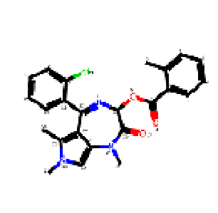 Cc1ccccc1C(=O)OC1N=C(c2ccccc2Cl)c2c(cn(C)c2C)N(C)C1=O